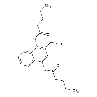 CCCCC(=O)Oc1cc(CC)c(OC(=O)CCCC)c2ccccc12